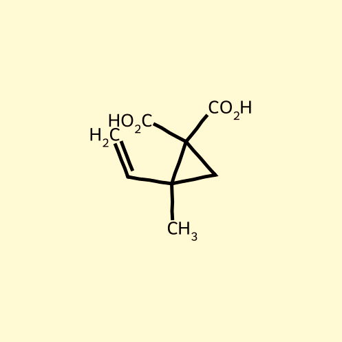 C=CC1(C)CC1(C(=O)O)C(=O)O